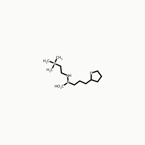 C[Si](C)(C)CCNN(CCCC1CCCO1)C(=O)O